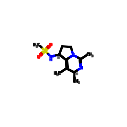 CC1=N[C@@H](C)C(C)=C2[C@@H](NS(C)(=O)=O)CCN12